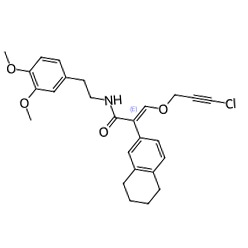 COc1ccc(CCNC(=O)/C(=C/OCC#CCl)c2ccc3c(c2)CCCC3)cc1OC